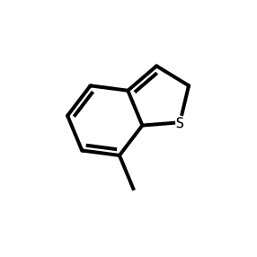 CC1=CC=CC2=CCSC12